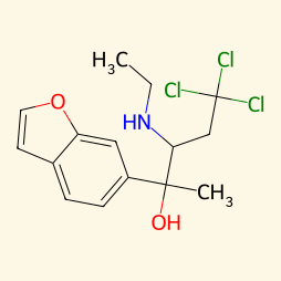 CCNC(CC(Cl)(Cl)Cl)C(C)(O)c1ccc2ccoc2c1